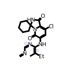 C=N/C=N\C(Nc1cc(Cl)c2n(c1=O)C1(CCCCC1)NC2=O)=C(/C)CC